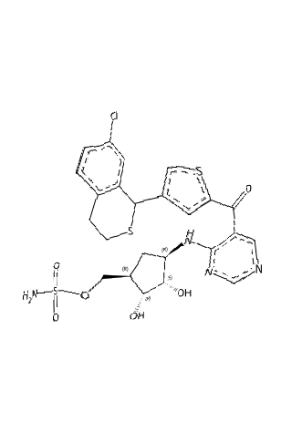 NS(=O)(=O)OC[C@H]1C[C@@H](Nc2ncncc2C(=O)c2cc(C3SCCc4ccc(Cl)cc43)cs2)[C@H](O)[C@@H]1O